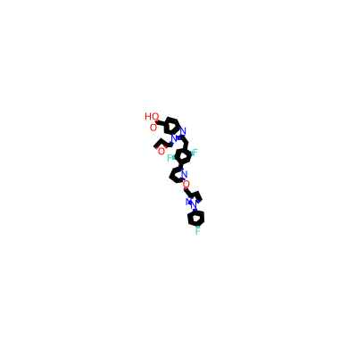 O=C(O)c1ccc2nc(Cc3cc(F)c(-c4cccc(OCc5ccn(-c6ccc(F)cc6)n5)n4)cc3F)n(CC3CCO3)c2c1